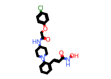 O=C(/C=C/C1=CCCC=C1N1CCC(NC(=O)COc2ccc(Cl)cc2)CC1)NO